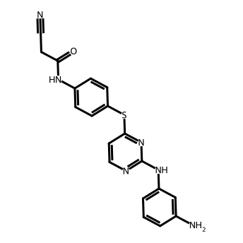 N#CCC(=O)Nc1ccc(Sc2ccnc(Nc3cccc(N)c3)n2)cc1